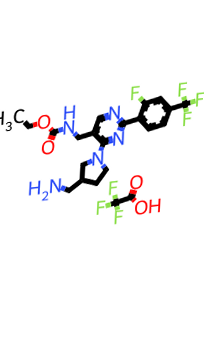 CCOC(=O)NCc1cnc(-c2ccc(C(F)(F)F)cc2F)nc1N1CCC(CN)C1.O=C(O)C(F)(F)F